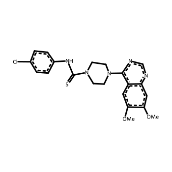 COc1cc2ncnc(N3CCN(C(=S)Nc4ccc(Cl)cc4)CC3)c2cc1OC